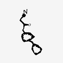 N#CCC(=O)Cc1ccc(-c2ccccc2)cc1